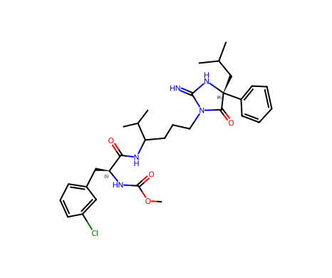 COC(=O)N[C@@H](Cc1cccc(Cl)c1)C(=O)NC(CCCN1C(=N)N[C@](CC(C)C)(c2ccccc2)C1=O)C(C)C